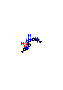 O=c1c2ccc(C3CC3)cc2ccn1-c1cccc(-c2ncnc3[nH]c(-c4ccc(CN5CCN(C6CC6)CC5)cc4)cc23)c1CO